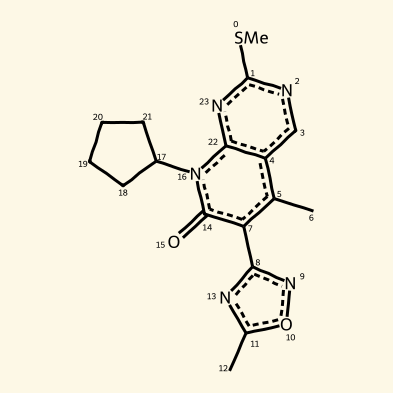 CSc1ncc2c(C)c(-c3noc(C)n3)c(=O)n(C3CCCC3)c2n1